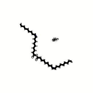 CCCCCCCC/C=C\CCCCCCCC(=O)OC(=O)CCCCCCC/C=C\CCCCCCCC.[Mn].[Mn]